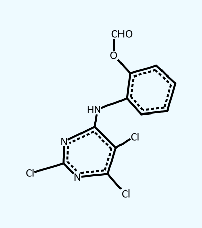 O=COc1ccccc1Nc1nc(Cl)nc(Cl)c1Cl